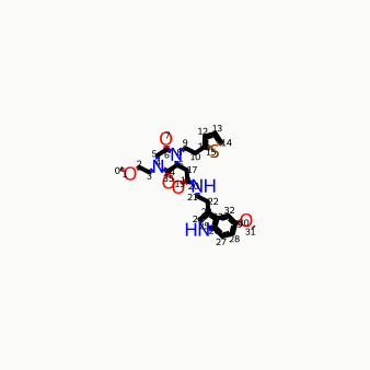 COCCN1CC(=O)N(CCc2cccs2)C(CC(=O)NCCc2c[nH]c3ccc(OC)cc23)C1=O